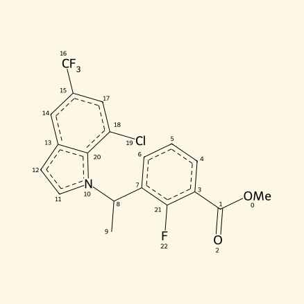 COC(=O)c1cccc(C(C)n2ccc3cc(C(F)(F)F)cc(Cl)c32)c1F